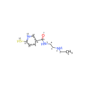 CCNCCNC(=O)c1ccc(S)nc1